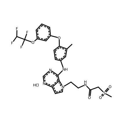 Cc1cc(Nc2ncnc3ccn(CCNC(=O)CS(C)(=O)=O)c23)ccc1Oc1cccc(OC(F)(F)C(F)F)c1.Cl